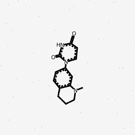 CN1CCCc2ccc(-n3ccc(=O)[nH]c3=O)cc21